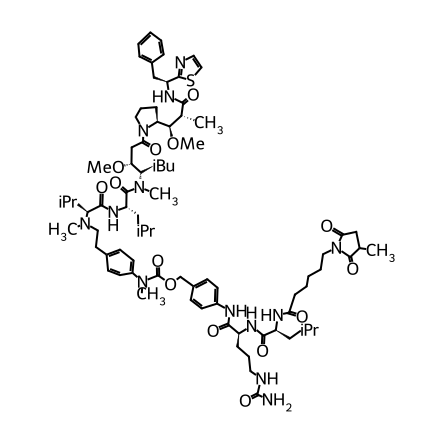 CC[C@H](C)[C@@H]([C@@H](CC(=O)N1CCC[C@H]1[C@H](OC)[C@@H](C)C(=O)N[C@@H](Cc1ccccc1)c1nccs1)OC)N(C)C(=O)[C@H](CC(C)C)NC(=O)[C@H](C(C)C)N(C)CCc1ccc(N(C)C(=O)OCc2ccc(NC(=O)[C@H](CCCNC(N)=O)NC(=O)[C@H](CC(C)C)NC(=O)CCCCCN3C(=O)CC(C)C3=O)cc2)cc1